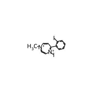 C[N+]1=C=C[N+](I)=C(c2ccccc2I)C=C1